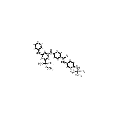 CCC(C)(C)c1nc(Nc2ccccc2)nc(Nc2ccc(C(=O)Nc3ccc(NC(C)(C)C)cc3)cc2)n1